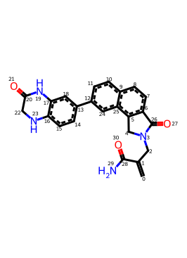 C=C(CN1Cc2c(ccc3ccc(-c4ccc5c(c4)NC(=O)CN5)cc23)C1=O)C(N)=O